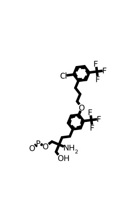 NC(CO)(CCc1ccc(OCCCc2cc(C(F)(F)F)ccc2Cl)c(C(F)(F)F)c1)COP=O